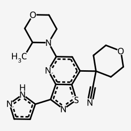 CC1COCCN1c1cc(C2(C#N)CCOCC2)c2snc(-c3ccn[nH]3)c2n1